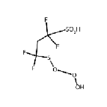 O=S(=O)(O)C(F)(F)CC(F)(F)SOOO